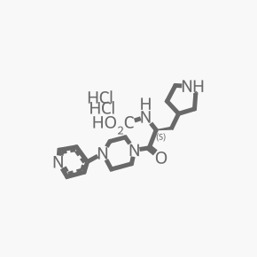 Cl.Cl.O=C(O)N[C@@H](CC1CCNCC1)C(=O)N1CCN(c2ccncc2)CC1